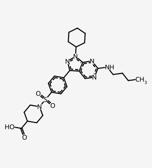 CCCCNc1ncc2c(-c3ccc(S(=O)(=O)N4CCC(C(=O)O)CC4)cc3)nn(C3CCCCC3)c2n1